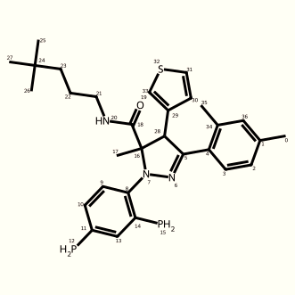 Cc1ccc(C2=NN(c3ccc(P)cc3P)C(C)(C(=O)NCCCC(C)(C)C)C2c2ccsc2)c(C)c1